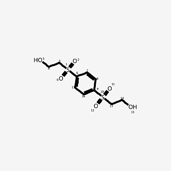 O=S(=O)(CCO)c1ccc(S(=O)(=O)CCO)cc1